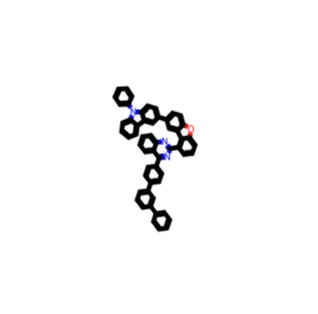 c1ccc(-c2cccc(-c3ccc(-c4nc(-c5cccc6oc7ccc(-c8ccc9c(c8)c8ccccc8n9-c8ccccc8)cc7c56)nc5ccccc45)cc3)c2)cc1